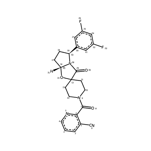 N#Cc1cccnc1C(=O)N1CCC2(CC1)O[C@@H]1CC[C@@H](c3cc(F)cc(F)c3)N1C2=O